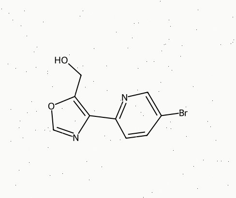 OCc1ocnc1-c1ccc(Br)cn1